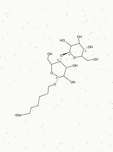 CCCCCCCCCCCCCCCCO[C@@H]1OC(CO)[C@H](O[C@@H]2OC(CO)[C@@H](O)C(O)C2O)C(O)C1O